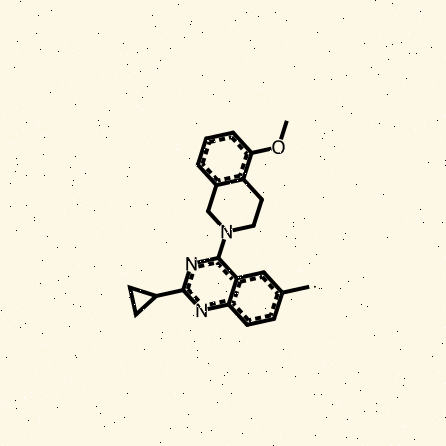 [CH2]c1ccc2nc(C3CC3)nc(N3CCc4c(cccc4OC)C3)c2c1